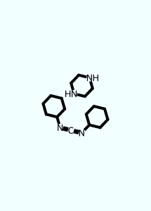 C(=NC1CCCCC1)=NC1CCCCC1.C1CNCCN1